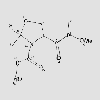 CON(C)C(=O)C1COC(C)(C)N1C(=O)OC(C)(C)C